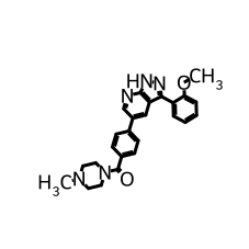 COc1ccccc1-c1n[nH]c2ncc(-c3ccc(C(=O)N4CCN(C)CC4)cc3)cc12